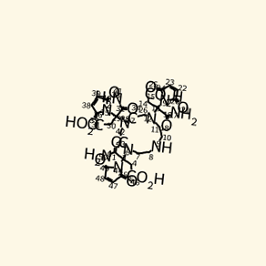 NC(=O)C(CC(=O)O)(N1CCNCCN(C(CC(=O)O)(C(N)=O)N2C(=O)C=CC2=O)CCN(C(CC(=O)O)(C(N)=O)N2C(=O)C=CC2=O)CC1)N1C(=O)C=CC1=O